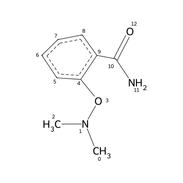 CN(C)Oc1ccccc1C(N)=O